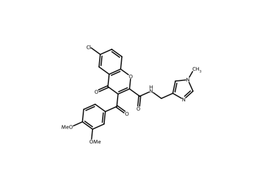 COc1ccc(C(=O)c2c(C(=O)NCc3cn(C)cn3)oc3ccc(Cl)cc3c2=O)cc1OC